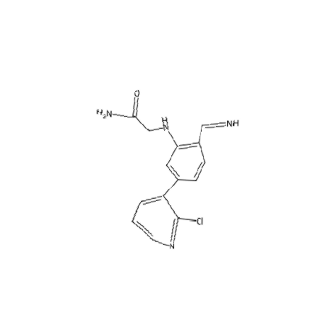 N=Cc1ccc(-c2cccnc2Cl)cc1NCC(N)=O